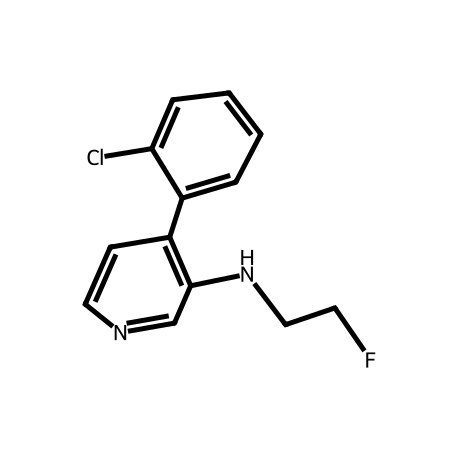 FCCNc1cnccc1-c1ccccc1Cl